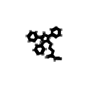 COC(=O)CCSC1N(c2ccccc2)N=C(c2ccccc2)N1c1ccccc1